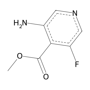 COC(=O)c1c(N)cncc1F